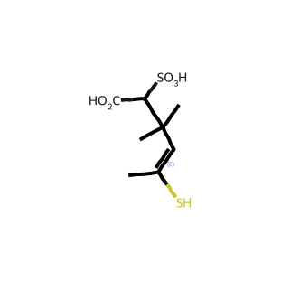 C/C(S)=C\C(C)(C)C(C(=O)O)S(=O)(=O)O